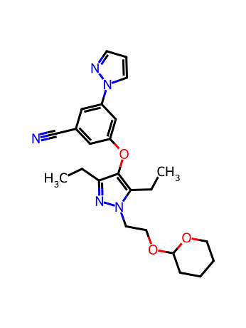 CCc1nn(CCOC2CCCCO2)c(CC)c1Oc1cc(C#N)cc(-n2cccn2)c1